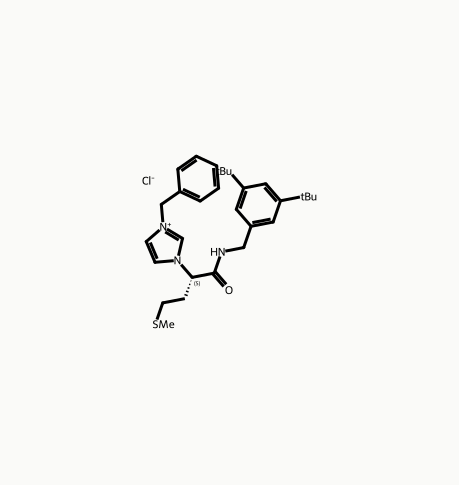 CSCC[C@@H](C(=O)NCc1cc(C(C)(C)C)cc(C(C)(C)C)c1)n1cc[n+](Cc2ccccc2)c1.[Cl-]